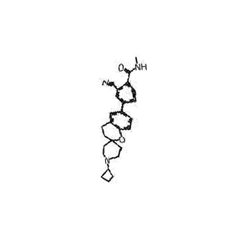 CNC(=O)c1ccc(-c2ccc3c(c2)CCC2(CCN(C4CCC4)CC2)O3)cc1C#N